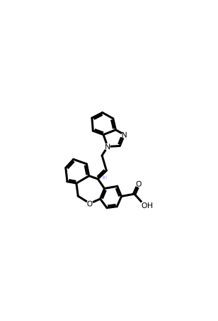 O=C(O)c1ccc2c(c1)/C(=C/Cn1cnc3ccccc31)c1ccccc1CO2